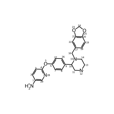 Nc1ccc(Oc2ccc(C3C[N]CCN3Cc3ccc4c(c3)OCO4)cc2)nc1